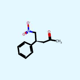 CC(=O)C[C@H](C[N+](=O)[O-])c1ccccc1